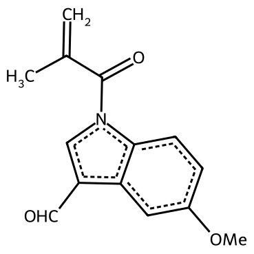 C=C(C)C(=O)n1cc(C=O)c2cc(OC)ccc21